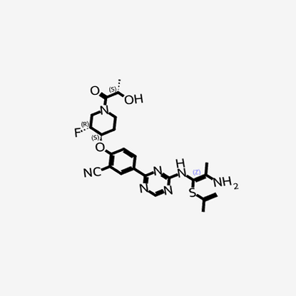 C=C(C)S/C(Nc1ncnc(-c2ccc(O[C@H]3CCN(C(=O)[C@H](C)O)C[C@H]3F)c(C#N)c2)n1)=C(/C)N